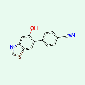 N#Cc1ccc(-c2cc3scnc3cc2O)cc1